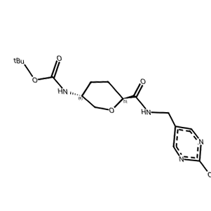 CC(C)(C)OC(=O)N[C@@H]1CC[C@@H](C(=O)NCc2cnc(C(F)(F)F)nc2)OC1